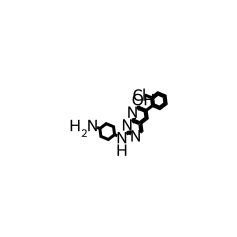 NC1CCC(Nc2ncc3cc(-c4ccccc4Cl)c(O)nc3n2)CC1